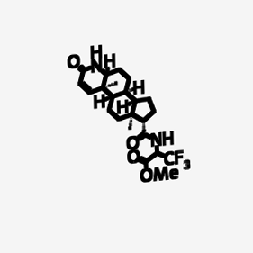 COC(=O)C(NC(=O)[C@H]1CC[C@H]2[C@@H]3CC[C@H]4NC(=O)C=C[C@]4(C)[C@H]3CC[C@]12C)C(F)(F)F